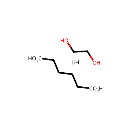 O=C(O)CCCCC(=O)O.OCCO.[LiH]